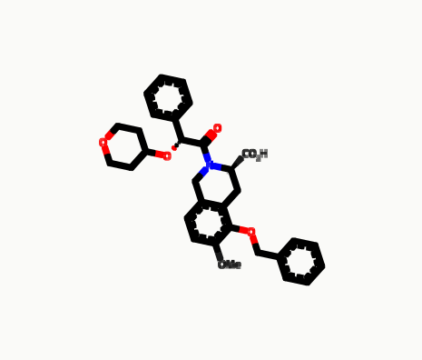 COc1ccc2c(c1OCc1ccccc1)C[C@H](C(=O)O)N(C(=O)[C@H](OC1CCOCC1)c1ccccc1)C2